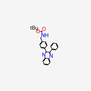 CC(C)(C)OC(=O)NCc1ccc(-c2nc3ccccc3nc2-c2ccccc2)cc1